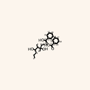 CCCC(O)C(C)C(C)(O)CC.O=C(O)c1ccccc1.O=C(O)c1ccccc1